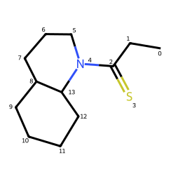 CCC(=S)N1CCCC2CCCCC21